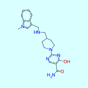 Cn1cc(CNCC2CCN(c3ncc(C(N)=O)c(O)n3)CC2)c2ccccc21